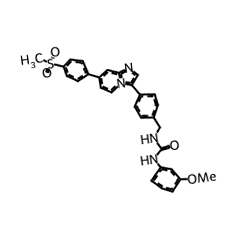 COc1cccc(NC(=O)NCc2ccc(-c3cnc4cc(-c5ccc(S(C)(=O)=O)cc5)ccn34)cc2)c1